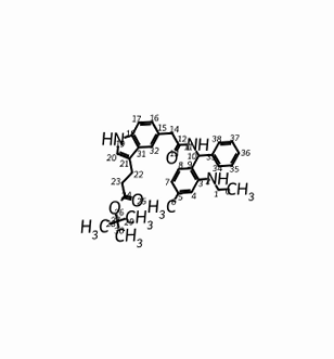 CCNc1cc(C)ccc1C(NC(=O)Cc1ccc2[nH]cc(CCC(=O)OC(C)(C)C)c2c1)c1ccccc1